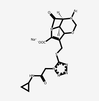 CC(=O)N1COC2C(CSc3nnnn3CC(=O)NC3CC3)=C(C(=O)[O-])N3C(=O)[C@@H]1[C@@H]23.[Na+]